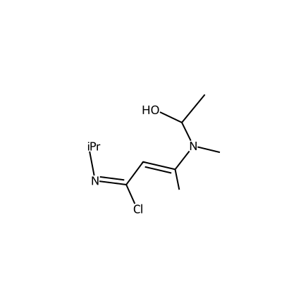 C/C(=C\C(Cl)=N/C(C)C)N(C)C(C)O